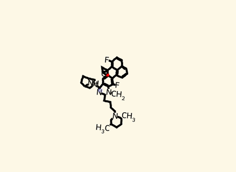 C=Nc1c(/C(=N\CCCCCN2CC(C)CCC2C)N2CC3CCC(C2)N3)cc(Cl)c(-c2cccc3ccc(F)c(C45CC4C5)c23)c1F